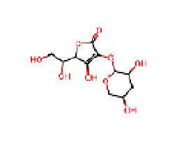 O=C1OC(C(O)CO)C(O)=C1OC1OCC(O)CC1O